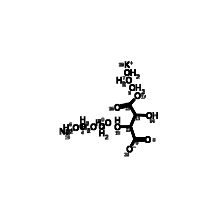 O.O.O.O.O.O.O.O.O=C([O-])C(O)C(O)C(=O)[O-].[K+].[Na+]